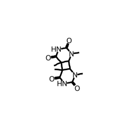 CN1C(=O)NC(=O)C2(C)C1C1N(C)C(=O)NC(=O)C12C